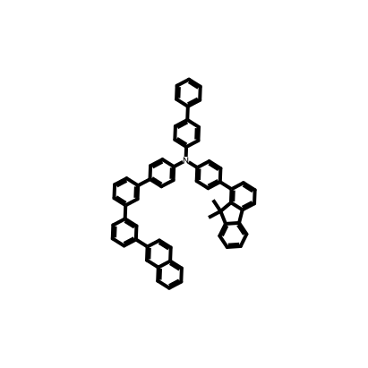 CC1(C)c2ccccc2-c2cccc(-c3ccc(N(c4ccc(-c5ccccc5)cc4)c4ccc(-c5cccc(-c6cccc(-c7ccc8ccccc8c7)c6)c5)cc4)cc3)c21